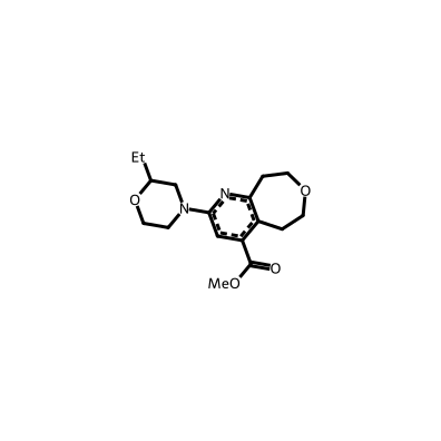 CCC1CN(c2cc(C(=O)OC)c3c(n2)CCOCC3)CCO1